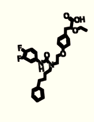 CCOC(Cc1ccc(OCCN(CCCCc2ccccc2)C(=O)Nc2ccc(F)c(F)c2)cc1)C(=O)O